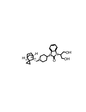 O=c1n(C(CO)CO)c2ccccc2n1C1CCN(C[C@H]2[C@@H]3CC[C@@H](C3)C23CC3)CC1